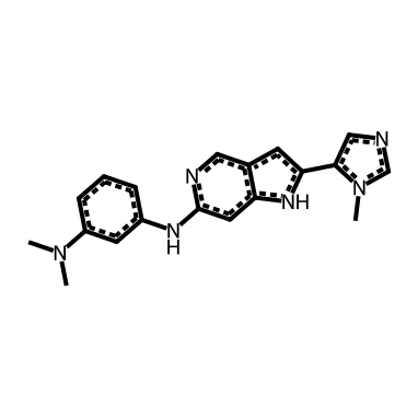 CN(C)c1cccc(Nc2cc3[nH]c(-c4cncn4C)cc3cn2)c1